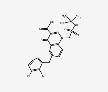 CC(C)(C)NS(=O)(=O)Cn1cc(C(=O)O)c(=O)c2cc(Cc3cccc(Cl)c3Cl)ccc21